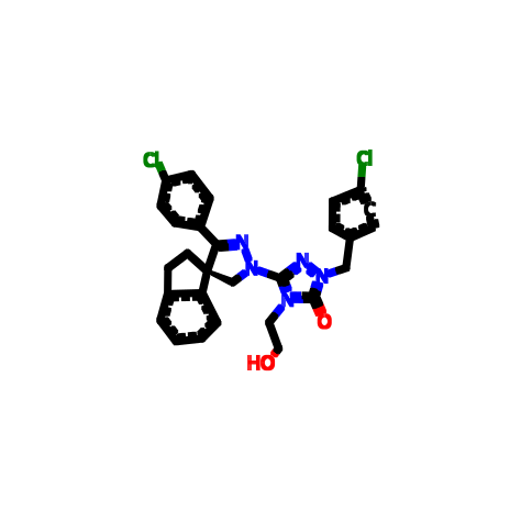 O=c1n(Cc2ccc(Cl)cc2)nc(N2C[C@@]3(CCc4ccccc43)C(c3ccc(Cl)cc3)=N2)n1CCO